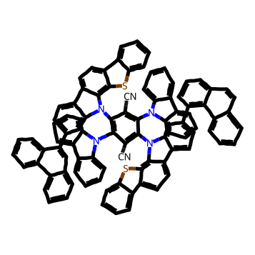 N#Cc1c(-n2c3ccccc3c3ccccc32)c(-n2c3cc(-c4cccc5ccc6ccccc6c45)ccc3c3ccc4c5ccccc5sc4c32)c(C#N)c(-n2c3ccccc3c3ccccc32)c1-n1c2cc(-c3cc4ccccc4c4ccccc34)ccc2c2ccc3c4ccccc4sc3c21